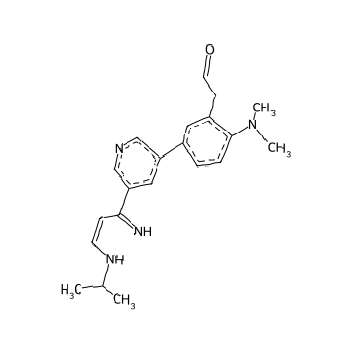 CC(C)N/C=C\C(=N)c1cncc(-c2ccc(N(C)C)c(CC=O)c2)c1